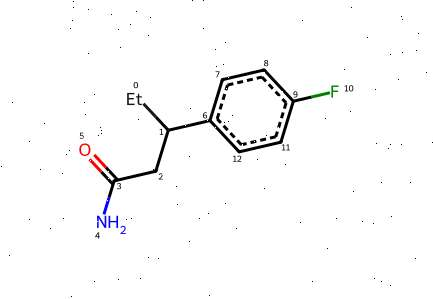 CCC(CC(N)=O)c1ccc(F)cc1